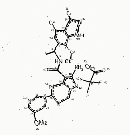 CCOc1c(C(C)NC(=O)c2c(N)nn3ccc(-c4cncc(OC)c4)nc23)cc(Cl)c2c(Cl)n[nH]c12.O=C(O)C(F)(F)F